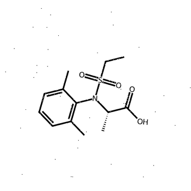 CCS(=O)(=O)N(c1c(C)cccc1C)[C@@H](C)C(=O)O